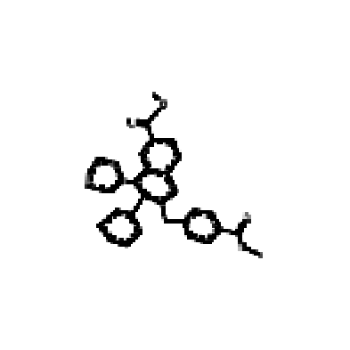 COC(=O)c1ccc(Cc2cc3ccc(C(=O)OC)cc3c(-c3ccccc3)c2-c2ccccc2)cc1